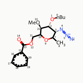 CCCCO[C@@H]1[C@H](N=[N+]=[N-])C(C)OC(COC(=O)c2ccccc2)[C@H]1OC